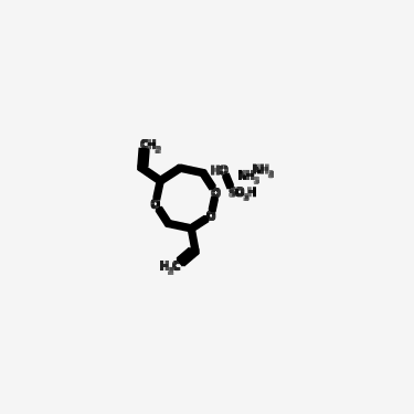 C=CC1CCOOC(C=C)CO1.N.N.O=S(=O)(O)O